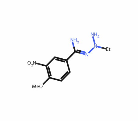 CCN(N)/N=C(\N)c1ccc(OC)c([N+](=O)[O-])c1